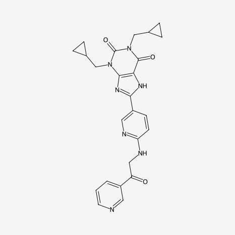 O=C(CNc1ccc(-c2nc3c([nH]2)c(=O)n(CC2CC2)c(=O)n3CC2CC2)cn1)c1cccnc1